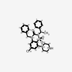 C[C@H](c1ccccc1)N1C(=O)N(Cc2ccccc2)c2cc(Cl)cc(N3CCNCC3)c2S1(=O)=O